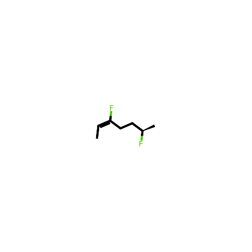 C/C=C(/F)CC[C@@H](C)F